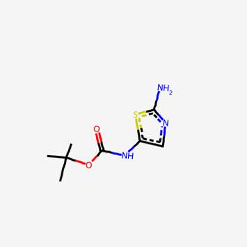 CC(C)(C)OC(=O)Nc1cnc(N)s1